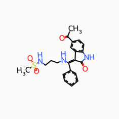 CC(=O)c1ccc2c(c1)C(=C(NCCCNS(C)(=O)=O)c1ccccc1)C(=O)N2